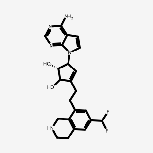 Nc1ncnc2c1ccn2C1C=C(CCc2cc(C(F)F)cc3c2CNCC3)C(O)[C@@H]1O